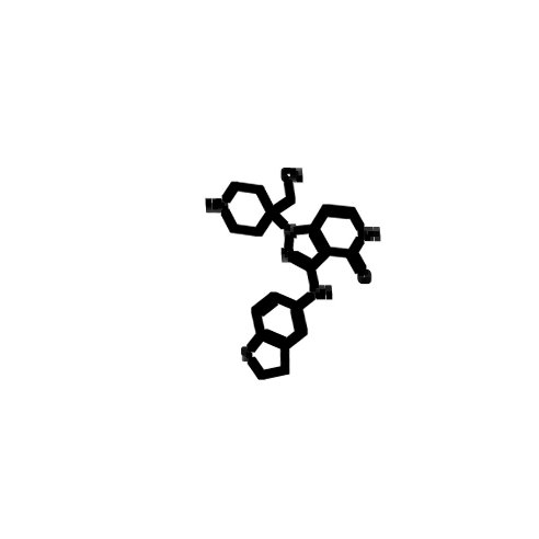 N#CCC1(n2nc(Nc3ccc4c(c3)CCS4)c3c(=O)[nH]ccc32)CCNCC1